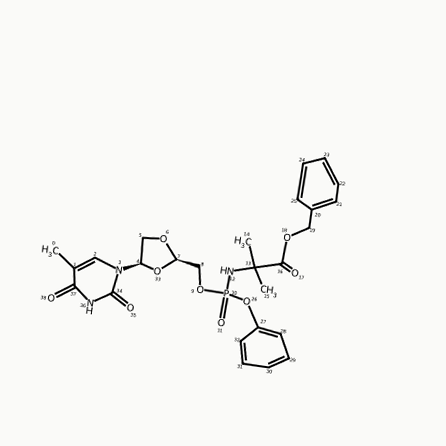 Cc1cn([C@H]2CO[C@@H](COP(=O)(NC(C)(C)C(=O)OCc3ccccc3)Oc3ccccc3)O2)c(=O)[nH]c1=O